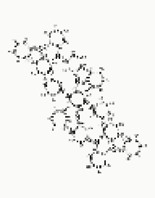 c1ccc(-c2c3c4cccc5c6ccc(N(c7ccccc7)c7cccc8c7sc7ccccc78)cc6n(c3c(-c3ccccc3)c3c6cccc7c8ccc(N(c9ccccc9)c9cccc%10c9sc9ccccc9%10)cc8n(c23)c76)c54)cc1